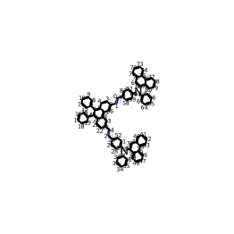 C(=C\c1ccc2c(-c3ccccc3)c(-c3ccccc3)c3ccc(/C=C/c4ccc(N(c5ccccc5)c5cc6ccccc6c6ccccc56)cc4)cc3c2c1)/c1ccc(N(c2ccccc2)c2cc3ccccc3c3ccccc23)cc1